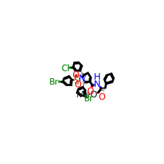 COC(=O)[C@H](Cc1ccccc1)NC(=O)C1=CC[C@@H](c2cccc(Cl)c2)N(S(=O)(=O)c2ccc(Br)cc2)[C@H]1c1cccc(Br)c1